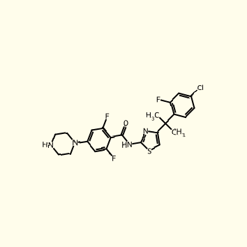 CC(C)(c1csc(NC(=O)c2c(F)cc(N3CCNCC3)cc2F)n1)c1ccc(Cl)cc1F